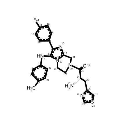 Cc1ccc(Nc2c(-c3ccc(F)cc3)nc3n2CCN(C(=O)[C@@H](N)Cc2cscn2)C3)cc1